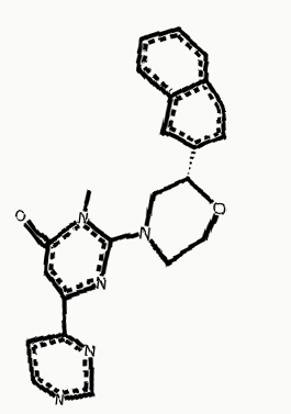 Cn1c(N2CCO[C@@H](c3ccc4ccccc4c3)C2)nc(-c2ccncn2)cc1=O